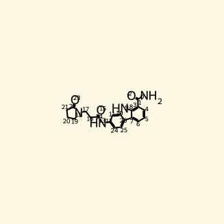 NC(=O)c1cccc2c1[nH]c1cc(NC(=O)CCN3CCCC3=O)ccc12